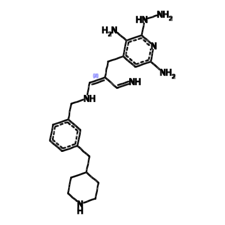 N=C/C(=C\NCc1cccc(CC2CCNCC2)c1)Cc1cc(N)nc(NN)c1N